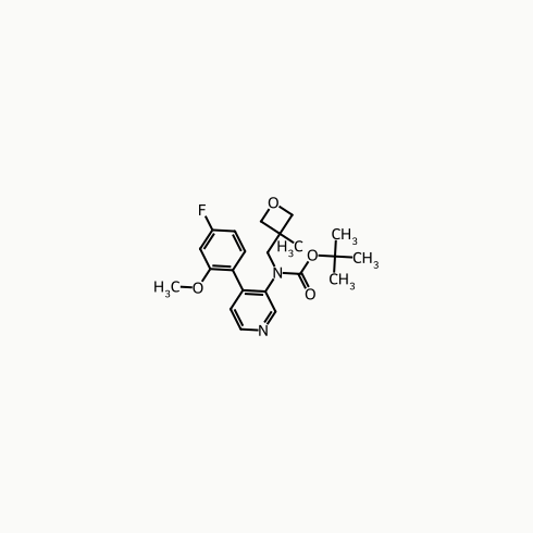 COc1cc(F)ccc1-c1ccncc1N(CC1(C)COC1)C(=O)OC(C)(C)C